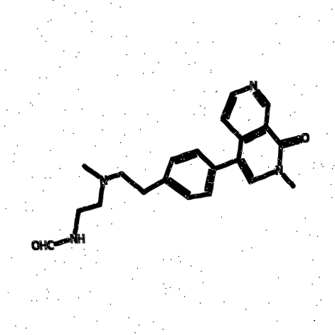 CN(CCNC=O)CCc1ccc(-c2cn(C)c(=O)c3cnccc23)cc1